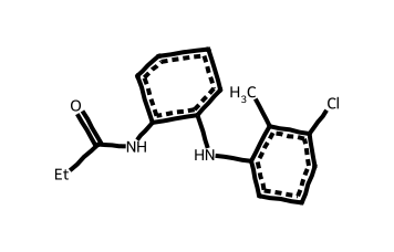 CCC(=O)Nc1ccccc1Nc1cccc(Cl)c1C